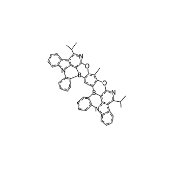 Cc1c2c(cc3c1Oc1nc(C(C)C)c4c5ccccc5n5c4c1B3c1ccccc1-5)B1c3ccccc3-n3c4ccccc4c4c(C(C)C)nc(c1c43)O2